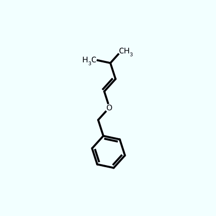 CC(C)C=COCc1ccccc1